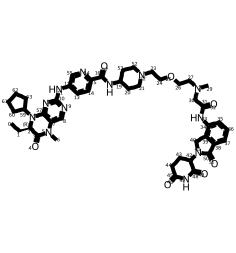 CC[C@@H]1C(=O)N(C)c2cnc(Nc3ccc(C(=O)NC4CCN(CCOCCN(C)CC(=O)Nc5cccc6c5CN(C5CCC(=O)NC5=O)C6=O)CC4)nc3)nc2N1C1CCCC1